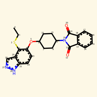 CCSc1c(OC2CCC(N3C(=O)c4ccccc4C3=O)CC2)ccc2[nH]ncc12